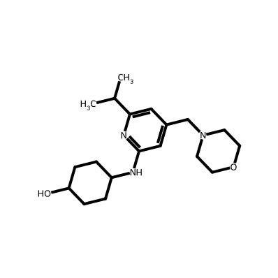 CC(C)c1cc(CN2CCOCC2)cc(NC2CCC(O)CC2)n1